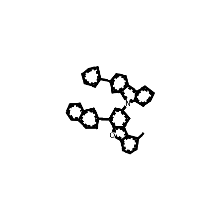 Cc1cccc2oc3c(-c4ccc5ccccc5c4)cc(-n4c5ccccc5c5ccc(-c6ccccc6)cc54)cc3c12